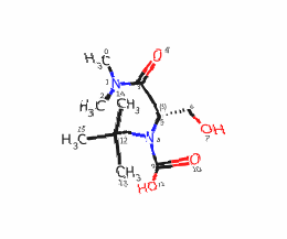 CN(C)C(=O)[C@H](CO)N(C(=O)O)C(C)(C)C